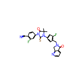 CC1(C)C(=O)N(c2ccc(C#N)c(F)c2)C(=S)N1c1ccc(CN2Cc3ncccc3C2=O)c(F)c1